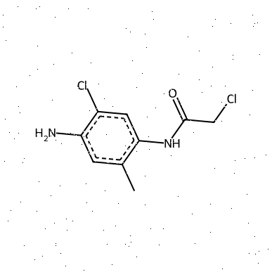 Cc1cc(N)c(Cl)cc1NC(=O)CCl